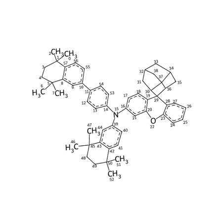 CC1(C)CCC(C)(C)c2cc(-c3ccc(N(c4ccc5c(c4)Oc4ccccc4C54C5CC6CC7CC4C75C6)c4ccc5c(c4)C(C)(C)CCC5(C)C)cc3)ccc21